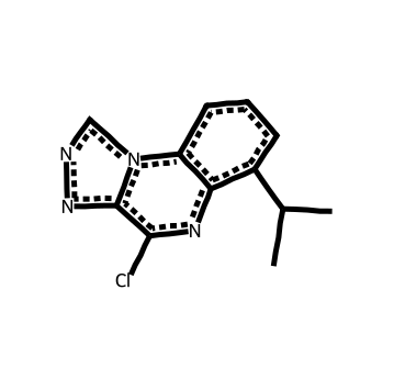 CC(C)c1cccc2c1nc(Cl)c1nncn12